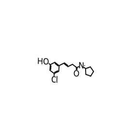 O=C(CC=Cc1cc(O)cc(Cl)c1)[N]C1CCCC1